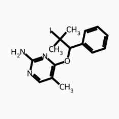 Cc1cnc(N)nc1OC(c1ccccc1)C(C)(C)I